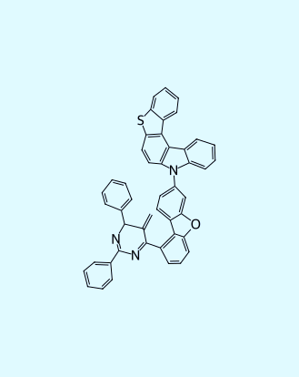 C=C1C(c2cccc3oc4cc(-n5c6ccccc6c6c7c(ccc65)sc5ccccc57)ccc4c23)=NC(c2ccccc2)=NC1c1ccccc1